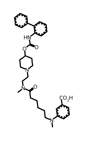 CN(CCN1CCC(OC(=O)Nc2ccccc2-c2ccccc2)CC1)C(=O)CCCCCN(C)c1cccc(C(=O)O)c1